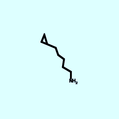 NCCCCCC1CC1